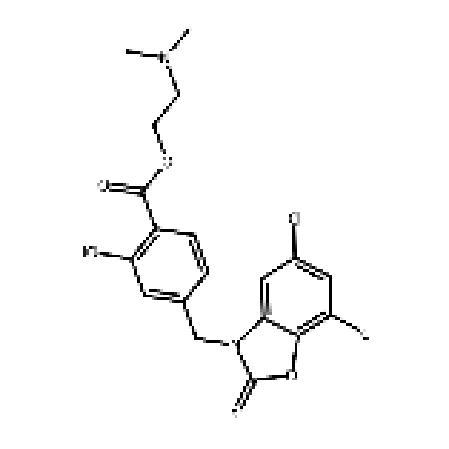 CN(C)CCOC(=O)c1ccc(Cn2c(=S)oc3c(Cl)cc(Cl)cc32)cc1O